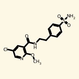 COc1ncc(Cl)cc1C(=O)NCCc1ccc(S(N)(=O)=O)cc1